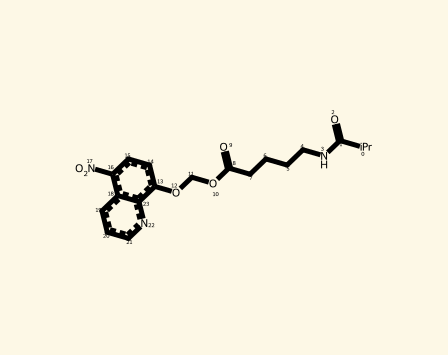 CC(C)C(=O)NCCCCC(=O)OCOc1ccc([N+](=O)[O-])c2cccnc12